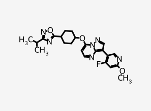 COc1cc(F)c(-c2cnn3c(OC4CCC(c5nc(C(C)C)no5)CC4)ccnc23)cn1